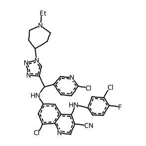 CCN1CCC(n2cc(C(Nc3cc(Cl)c4ncc(C#N)c(Nc5ccc(F)c(Cl)c5)c4c3)c3ccc(Cl)nc3)nn2)CC1